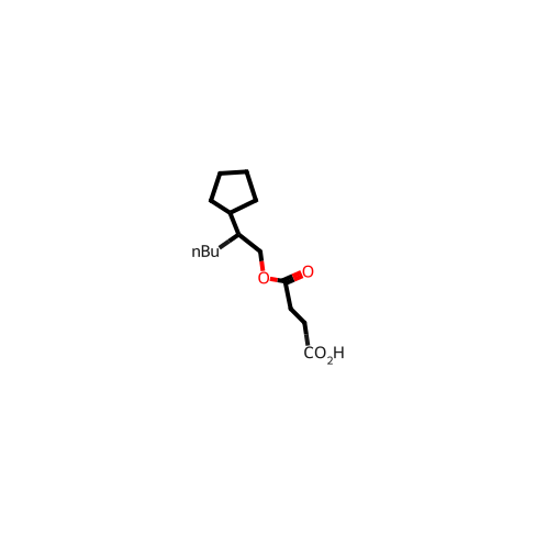 CCCCC(COC(=O)CCC(=O)O)C1CCCC1